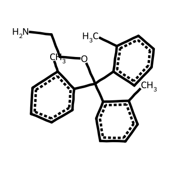 Cc1ccccc1C(OCCN)(c1ccccc1C)c1ccccc1C